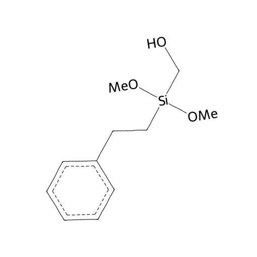 CO[Si](CO)(CCc1ccccc1)OC